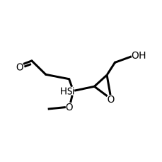 CO[SiH](CCC=O)C1OC1CO